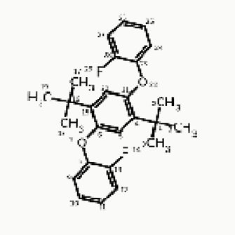 CC(C)(C)c1cc(Oc2ccccc2F)c(C(C)(C)C)cc1Oc1ccccc1F